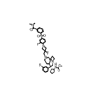 COC(=O)N[C@H]1CCC[C@@H]1C(CN1CCC1)(c1cccc(F)c1)C1CCN(CC2(F)CN(c3ccc(S(=O)(=O)c4cccc(C(=O)N(C)C)c4)cc3F)C2)CC1